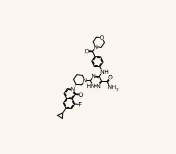 NC(=O)C1=NNC(N2CCC[C@@H](n3ccc4cc(C5CC5)cc(F)c4c3=O)C2)N=C1Nc1ccc(C(=O)N2CCOCC2)cc1